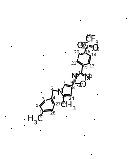 Cc1ccc(Cn2cc(-c3nc(-c4ccc(S(=O)(=O)C(F)(F)F)cc4)no3)cc2C)cc1